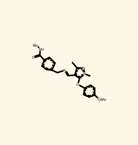 COc1ccc(Oc2c(C=NCc3ccc(C(=O)NC(C)(C)C)cc3)c(C)nn2C)cc1